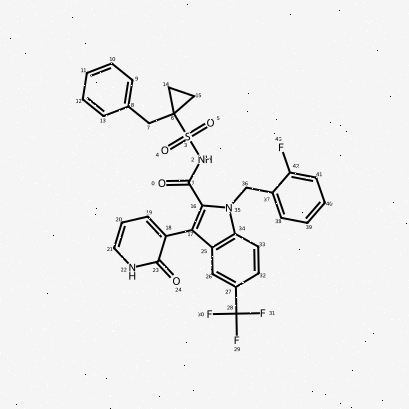 O=C(NS(=O)(=O)C1(Cc2ccccc2)CC1)c1c(-c2ccc[nH]c2=O)c2cc(C(F)(F)F)ccc2n1Cc1ccccc1F